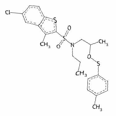 CCCN(CC(C)OSc1ccc(C)cc1)S(=O)(=O)c1sc2ccc(Cl)cc2c1C